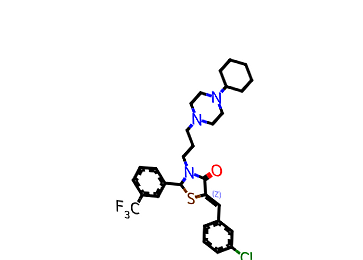 O=C1/C(=C/c2cccc(Cl)c2)SC(c2cccc(C(F)(F)F)c2)N1CCCN1CCN(C2CCCCC2)CC1